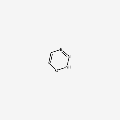 B1=NNOC=C1